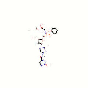 CC(C)OC(=O)C(C)N[P@](=O)(OC[C@H]1O[C@@H](n2ccc(NC(=O)c3ccnc(O)n3)nc2=O)[C@H](F)[C@@H]1O)Oc1ccccc1